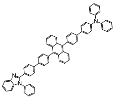 c1ccc(N(c2ccccc2)c2ccc(-c3ccc(-c4c5ccccc5c(-c5ccc(-c6ccc(-c7nc8ccccc8n7-c7ccccc7)cc6)cc5)c5ccccc45)cc3)cc2)cc1